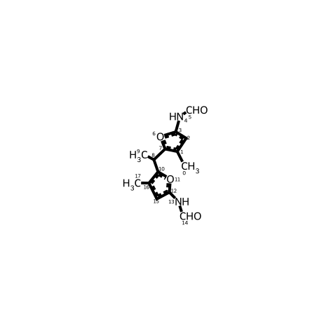 Cc1cc(NC=O)oc1C(C)c1oc(NC=O)cc1C